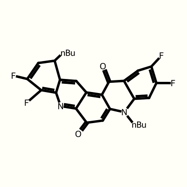 CCCCC1C=C(F)C(F)=c2nc3c(cc21)=c1c(=O)c2cc(F)c(F)cc2n(CCCC)c1=CC3=O